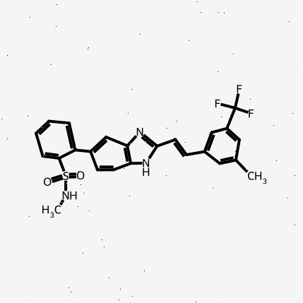 CNS(=O)(=O)c1ccccc1-c1ccc2[nH]c(/C=C/c3cc(C)cc(C(F)(F)F)c3)nc2c1